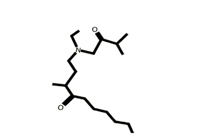 CCCCCCCC(=O)C(C)CCN(CC)CC(=O)C(C)C